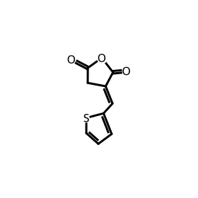 O=C1C/C(=C\c2cccs2)C(=O)O1